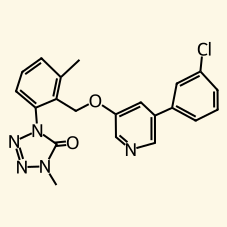 Cc1cccc(-n2nnn(C)c2=O)c1COc1cncc(-c2cccc(Cl)c2)c1